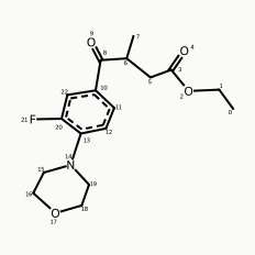 CCOC(=O)CC(C)C(=O)c1ccc(N2CCOCC2)c(F)c1